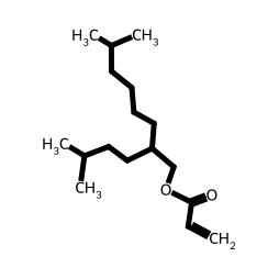 C=CC(=O)OCC(CCCCC(C)C)CCC(C)C